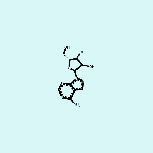 Nc1ncnc2c1cnn2C1O[C@H](CO)[C@@H](O)[C@H]1O